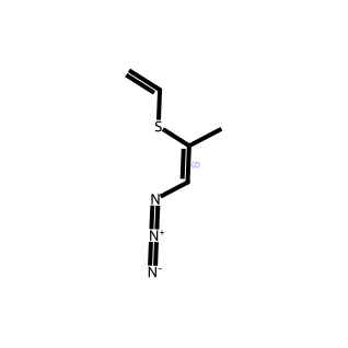 C=CS/C(C)=C\N=[N+]=[N-]